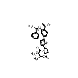 CC(C)[C@H](C)C(=O)N1CCC[C@H]1c1ncc(-c2ccc([N+](=O)[O-])c(O[C@H](C)c3ccccc3)c2)[nH]1